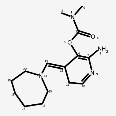 CN(C)C(=O)OC1=C(N)N=CCC1=CN1CCCCCC1